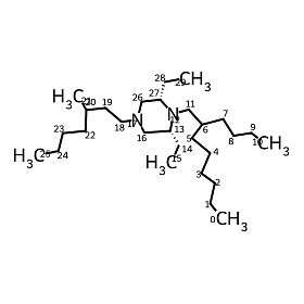 CCCCCCC(CCCC)CN1[C@H](CC)CN(CCC(C)CCCC)C[C@@H]1CC